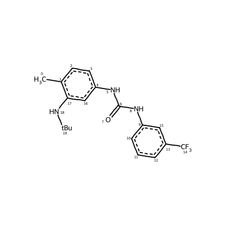 Cc1ccc(NC(=O)Nc2cccc(C(F)(F)F)c2)cc1NC(C)(C)C